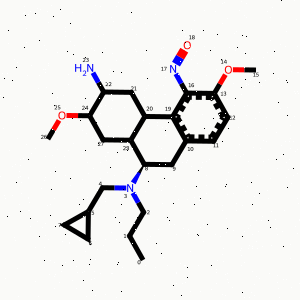 CCCN(CC1CC1)[C@@H]1Cc2ccc(OC)c(N=O)c2C2CC(N)C(OC)CC21